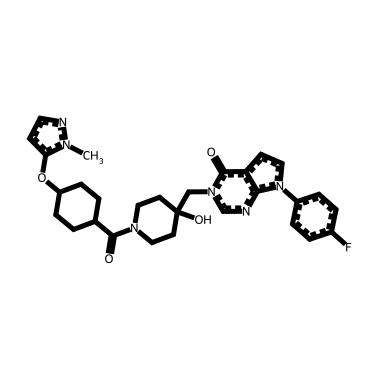 Cn1nccc1OC1CCC(C(=O)N2CCC(O)(Cn3cnc4c(ccn4-c4ccc(F)cc4)c3=O)CC2)CC1